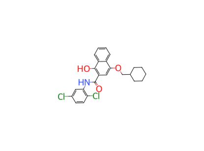 O=C(Nc1cc(Cl)ccc1Cl)c1cc(OCC2CCCCC2)c2ccccc2c1O